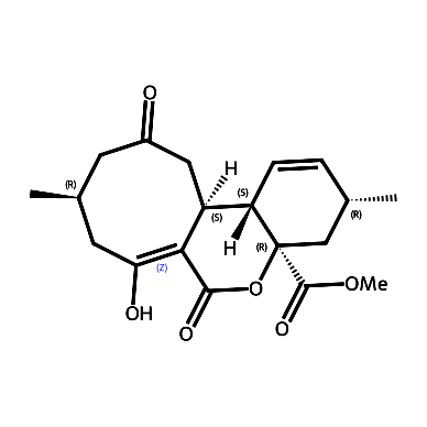 COC(=O)[C@@]12C[C@@H](C)C=C[C@H]1[C@@H]1CC(=O)C[C@H](C)C/C(O)=C\1C(=O)O2